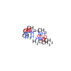 CCC(C)NC(CC(=O)NCCCC(C)CNC(=O)CC(NC(C)CC)C(=O)OC)C(=O)OC